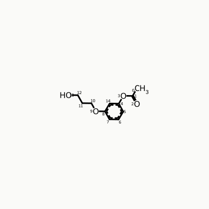 CC(=O)Oc1cccc(OCCCO)c1